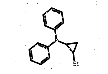 CCC1CC1P(c1ccccc1)c1ccccc1